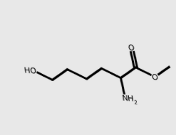 COC(=O)C(N)CCCCO